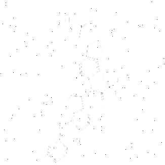 Nc1ccc(F)cc1Nc1cccc2c1OCC2N(C(=O)C(F)(F)F)c1ccc2c(c1)OC[C@H]2CC(=O)O